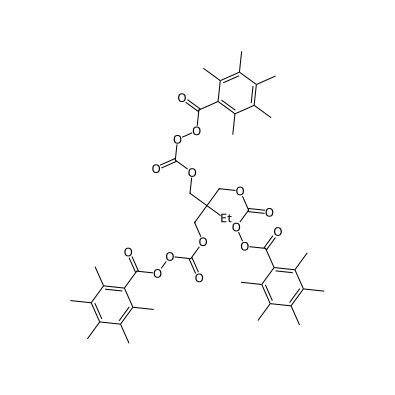 CCC(COC(=O)OOC(=O)c1c(C)c(C)c(C)c(C)c1C)(COC(=O)OOC(=O)c1c(C)c(C)c(C)c(C)c1C)COC(=O)OOC(=O)c1c(C)c(C)c(C)c(C)c1C